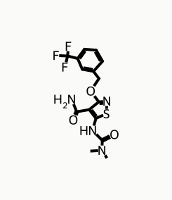 CN(C)C(=O)Nc1snc(OCc2cccc(C(F)(F)F)c2)c1C(N)=O